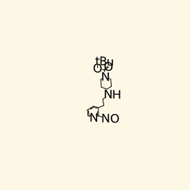 CC(C)(C)OC(=O)N1CCC(NCCc2cccnc2N=O)CC1